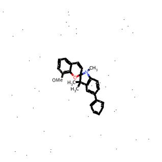 COc1cccc2c1OC1(C=C2)N(C)c2ccc(-c3ccccc3)cc2C1(C)C